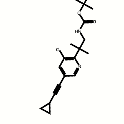 CC(C)(C)OC(=O)NCC(C)(C)c1ncc(C#CC2CC2)cc1Cl